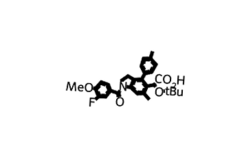 COc1ccc(C(=O)N2CCc3c2cc(C)c(C(OC(C)(C)C)C(=O)O)c3-c2ccc(C)cc2)cc1F